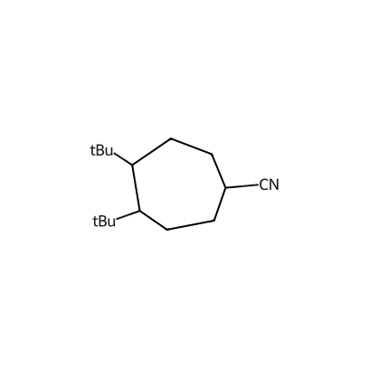 CC(C)(C)C1CCC(C#N)CCC1C(C)(C)C